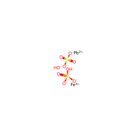 O=P([O-])([O-])O.O=S(=O)([O-])[O-].[Fe+3].[OH-].[Pb+2]